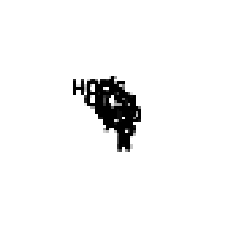 CC(=O)N1CCN(C(=O)c2cc(Sc3cnc(NC(=O)c4ccc(N(C)C)cc4)s3)c(C)cc2O)CC1